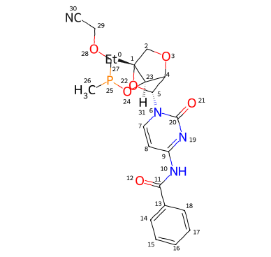 CC[C@]12COC([C@H](n3ccc(NC(=O)c4ccccc4)nc3=O)O1)[C@H]2OP(C)COCC#N